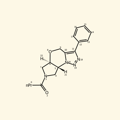 CCCC(=O)N1C[C@@H]2[C@@H](C1)OCc1c(-c3ccccc3)nnn12